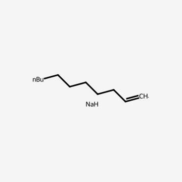 [CH]=CCCCCCCCCC.[NaH]